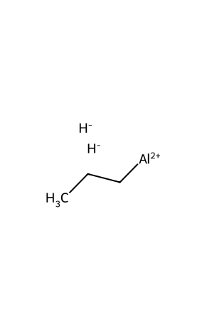 CC[CH2][Al+2].[H-].[H-]